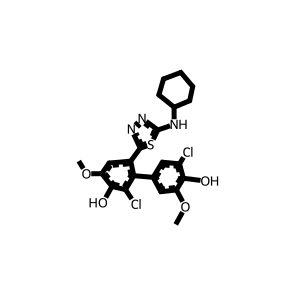 COc1cc(-c2c(-c3nnc(NC4CCCCC4)s3)cc(OC)c(O)c2Cl)cc(Cl)c1O